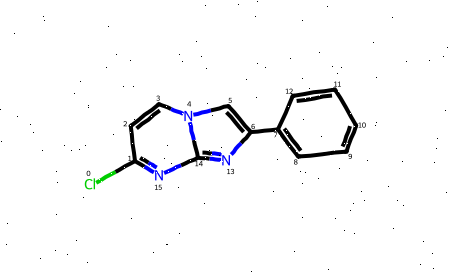 Clc1ccn2cc(-c3ccccc3)nc2n1